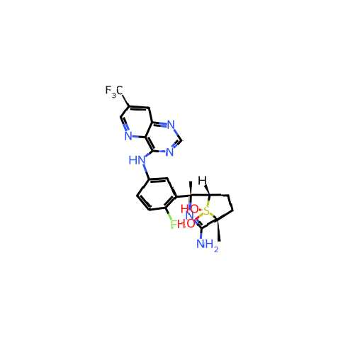 C[C@]1(c2cc(Nc3ncnc4cc(C(F)(F)F)cnc34)ccc2F)N=C(N)[C@@]2(C)CC[C@@H]1S2(O)O